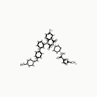 Cc1nc(C(=O)N[C@H]2CC[C@@H](n3c(=O)c4cc(F)cnc4n(-c4cccc(-c5ccc(CN6CCN(C(C)C)CC6)cc5)c4)c3=O)CC2)cs1